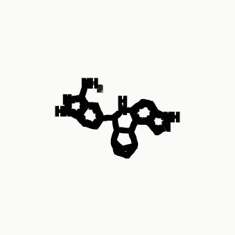 Nc1n[nH]c2ccc(C3Nc4ccc5[nH]ncc5c4C4C5CCC(C5)C34)cc12